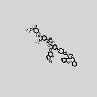 CC(C)c1ccccc1C1CN(CC2CCCCC2)CCN1C1CC2(CCN(c3ccc(C(=O)NS(=O)(=O)c4ccc(NC[C@H]5CC[C@](C)(O)CC5)c([N+](=O)[O-])c4)c(Oc4cnc5[nH]ccc5c4)c3)CC2)C1